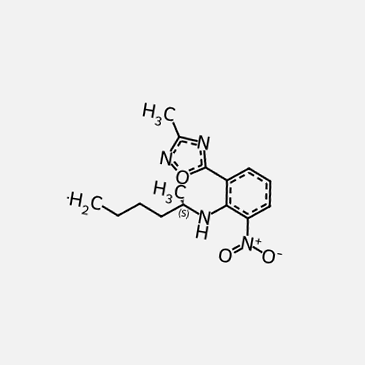 [CH2]CCC[C@H](C)Nc1c(-c2nc(C)no2)cccc1[N+](=O)[O-]